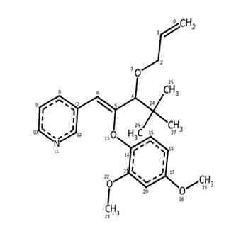 C=CCOC(C(=Cc1cccnc1)Oc1ccc(OC)cc1OC)C(C)(C)C